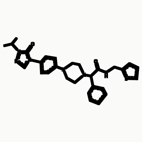 CC(C)n1ncn(-c2ccc(N3CCN(C(C(=O)NCc4cccs4)c4ccccc4)CC3)cc2)c1=O